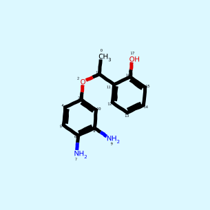 CC(Oc1ccc(N)c(N)c1)c1ccccc1O